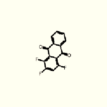 O=C1c2ccccc2C(=O)c2c(F)c(F)cc(F)c21